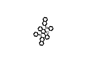 c1ccc(N(c2ccc3ccccc3c2)c2c3ccccc3c(N(c3ccccc3)c3ccc4ccccc4c3)c3c2oc2ccccc23)cc1